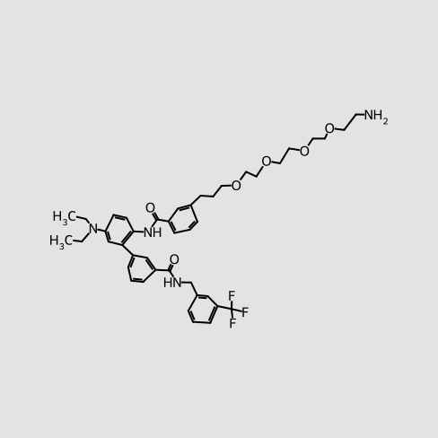 CCN(CC)c1ccc(NC(=O)c2cccc(CCCOCCOCCOCCOCCN)c2)c(-c2cccc(C(=O)NCc3cccc(C(F)(F)F)c3)c2)c1